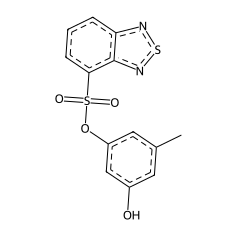 Cc1cc(O)cc(OS(=O)(=O)c2cccc3nsnc23)c1